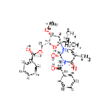 Cc1cn([C@@]2([SiH](C)C)C[C@H](OC(C)(C)C)[C@@H](COC(=O)c3ccccc3)O2)c(=O)n(C(=O)c2ccccc2)c1=O